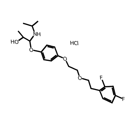 CC(C)NC(Oc1ccc(OCCOCCc2ccc(F)cc2F)cc1)C(C)O.Cl